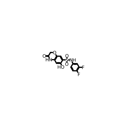 O=C1COc2cc(S(=O)(=O)Nc3ccc(F)c(F)c3)c(O)cc2N1